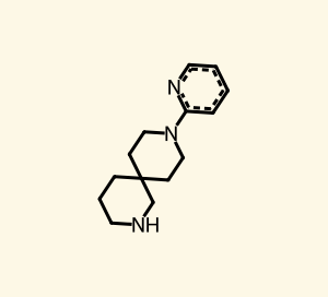 c1ccc(N2CCC3(CCCNC3)CC2)nc1